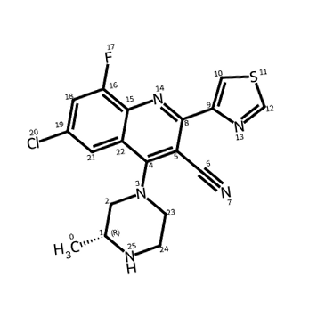 C[C@@H]1CN(c2c(C#N)c(-c3cscn3)nc3c(F)cc(Cl)cc23)CCN1